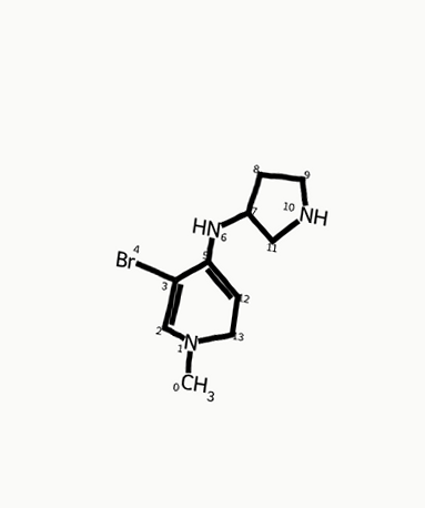 CN1C=C(Br)C(NC2CCNC2)=CC1